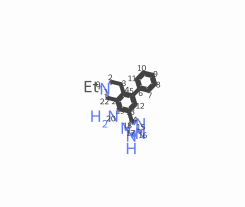 CCN1CCc2c(-c3ccccc3)cc(-c3nn[nH]n3)c(N)c2C1